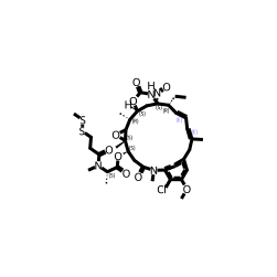 CC[C@@H]1/C=C/C=C(\C)Cc2cc(OC)c(Cl)c(c2)N(C)C(=O)C[C@H](OC(=O)[C@H](C)N(C)C(=O)CCSSC)[C@]2(C)OC2[C@H](C)[C@@H]2C[C@@]1(N=O)NC(=O)O2